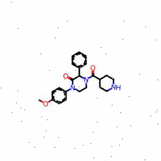 COc1ccc(N2CCN(C(=O)C3CCNCC3)C(c3ccccc3)C2=O)cc1